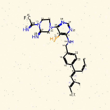 C\C=C/C(=C\C(C)=C\CC)c1ccc(CNc2ncnc(N3CCN(C(=N)C(F)(F)F)C(=N)C3)c2P)cc1